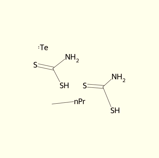 CCCC.NC(=S)S.NC(=S)S.[Te]